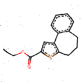 CCOC(=O)c1cc2c(s1)CCCc1ccccc1-2